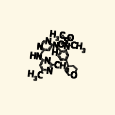 Cc1cc(Nc2cc(Nc3ccc(C4CCOCC4)cc3N(C)S(C)(=O)=O)ncn2)nc(C)n1